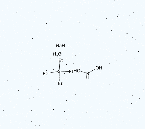 CCS(CC)(CC)CC.O.OBO.[NaH]